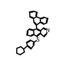 c1ccc2c(c1)cc(-c1c3ccccc3c(Sc3ccc(C4CCCCC4)cc3)c3ccncc13)c1ccccc12